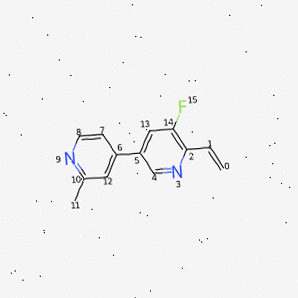 C=Cc1ncc(-c2ccnc(C)c2)cc1F